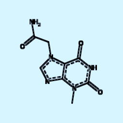 Cn1c(=O)[nH]c(=O)c2c1ncn2CC(N)=O